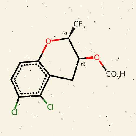 O=C(O)O[C@H]1Cc2c(ccc(Cl)c2Cl)O[C@H]1C(F)(F)F